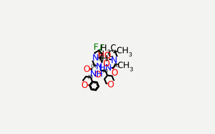 C[C@@H](C(=O)N[C@H](C(=O)N1C[C@H]2CC(F)(F)CN2C[C@H]1C(=O)N[C@@H]1CCOc2ccccc21)C1CCOCC1)N(CC(C)(C)C)C(=O)O